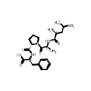 CC(C)C[C@H](N)C(=O)N[C@@H](C)C(=O)N1CCC[C@H]1C(=O)N[C@@H](Cc1ccccc1)C(=O)O